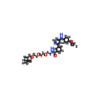 O=C(NCCOCCOCCOCC1CC2C=C[C@H]21)c1cccc(-c2cc(Nc3ccc(OC(F)(F)F)cc3)ncn2)c1